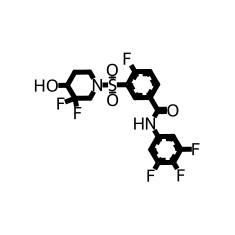 O=C(Nc1cc(F)c(F)c(F)c1)c1ccc(F)c(S(=O)(=O)N2CCC(O)C(F)(F)C2)c1